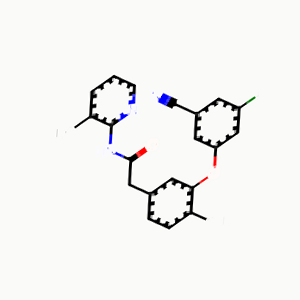 Cc1ccc(CC(=O)Nc2ncccc2C)cc1Oc1cc(Cl)cc(C#N)c1